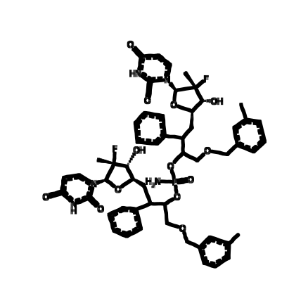 Cc1cccc(COCC(OP(N)(=O)OC(COCc2cccc(C)c2)C(C[C@H]2O[C@@H](n3ccc(=O)[nH]c3=O)[C@](C)(F)[C@@H]2O)c2ccccc2)C(C[C@H]2O[C@@H](n3ccc(=O)[nH]c3=O)[C@](C)(F)[C@@H]2O)c2ccccc2)c1